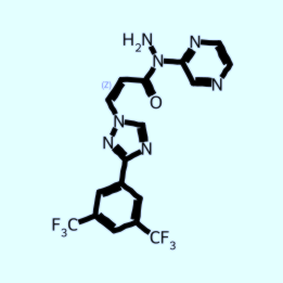 NN(C(=O)/C=C\n1cnc(-c2cc(C(F)(F)F)cc(C(F)(F)F)c2)n1)c1cnccn1